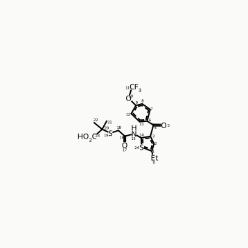 CCc1cc(C(=O)c2ccc(OC(F)(F)F)cc2)c(NC(=O)CSC(C)(C)C(=O)O)s1